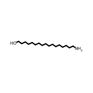 NCCCCCCCCCCCCCCCCCO